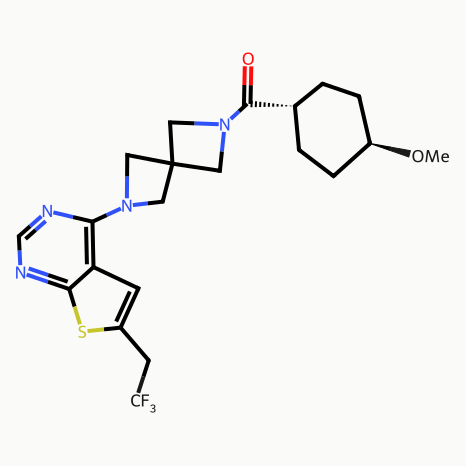 CO[C@H]1CC[C@H](C(=O)N2CC3(CN(c4ncnc5sc(CC(F)(F)F)cc45)C3)C2)CC1